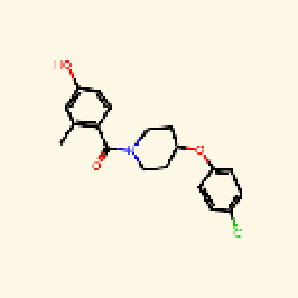 Cc1cc(O)ccc1C(=O)N1CCC(Oc2ccc(Cl)cc2)CC1